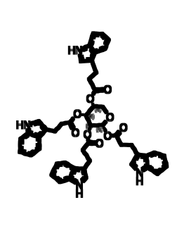 O=C(CCc1c[nH]c2ccccc12)O[C@@H]1OC[C@@H](OC(=O)CCc2c[nH]c3ccccc23)[C@@H](OC(=O)CCc2c[nH]c3ccccc23)[C@@H]1OC(=O)CCc1c[nH]c2ccccc12